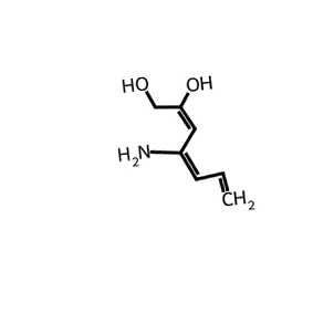 C=C/C=C(N)\C=C(\O)CO